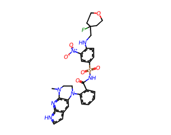 CN1CCN(c2ccccc2C(=O)NS(=O)(=O)c2ccc(NCC3(F)CCOCC3)c([N+](=O)[O-])c2)c2cc3cc[nH]c3nc21